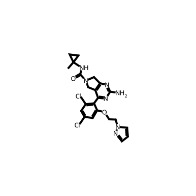 CC1(NC(=O)N2Cc3nc(N)nc(-c4c(Cl)cc(Cl)cc4OCCn4cccn4)c3C2)CC1